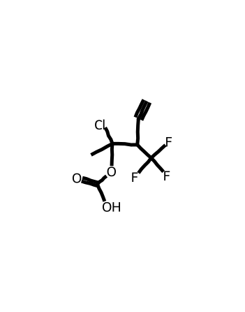 C#CC(C(F)(F)F)C(C)(Cl)OC(=O)O